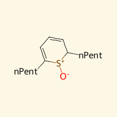 CCCCCC1=CC=CC(CCCCC)[S+]1[O-]